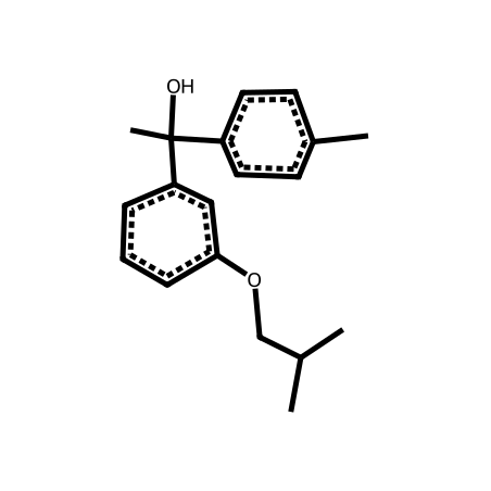 Cc1ccc(C(C)(O)c2cccc(OCC(C)C)c2)cc1